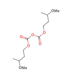 COC(C)CCOC(=O)OC(=O)OCCC(C)OC